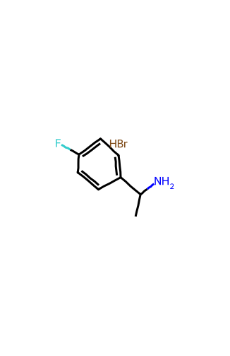 Br.CC(N)c1ccc(F)cc1